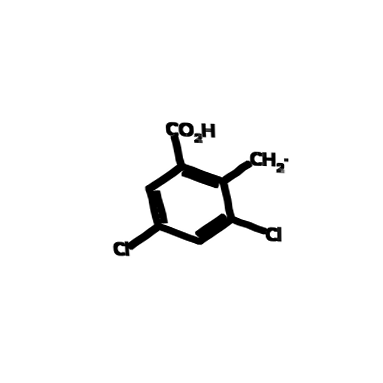 [CH2]c1c(Cl)cc(Cl)cc1C(=O)O